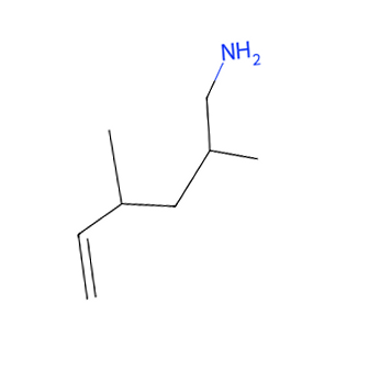 C=CC(C)CC(C)CN